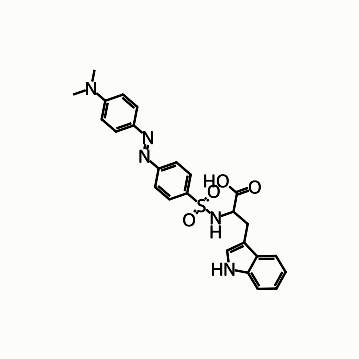 CN(C)c1ccc(N=Nc2ccc(S(=O)(=O)NC(Cc3c[nH]c4ccccc34)C(=O)O)cc2)cc1